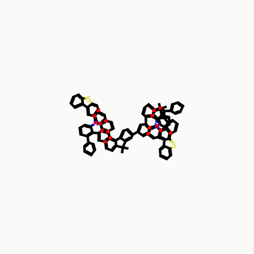 CC1(C)c2cc(-c3ccc(N(c4ccc5sc6ccccc6c5c4)c4cccc(-c5ccccc5)c4-c4ccccc4-c4ccccc4)c(-c4cccc5c4-c4ccccc4C5(C)C)c3)ccc2-c2c(-c3cccc(N(c4ccc5sc6ccccc6c5c4)c4cccc(-c5ccccc5)c4-c4ccccc4-c4ccccc4)c3)cccc21